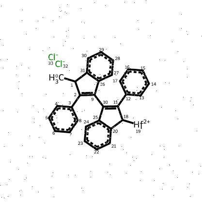 CC1C(c2ccccc2)=C(C2=C(c3ccccc3)[CH]([Hf+2])c3ccccc32)c2ccccc21.[Cl-].[Cl-]